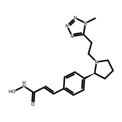 Cn1nnnc1CCN1CCC[C@H]1c1ccc(/C=C/C(=O)NO)cc1